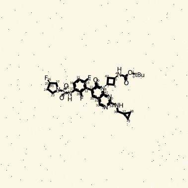 CC(C)(C)OC(=O)N[C@H]1C[C@H](n2c(=O)c(-c3c(F)ccc(NS(=O)(=O)N4CC[C@@H](F)C4)c3F)cc3cnc(NCC4CC4)nc32)C1